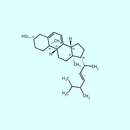 CC(C)C(C)/C=C/C(C)[C@H]1CC[C@H]2C3=CC=C4C[C@@H](O)CC[C@]4(C)[C@H]3CC[C@]12C